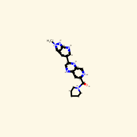 Cn1cc2cc(-c3cnc4cc(C(=O)N5CCCCC5)ncc4n3)cnc2n1